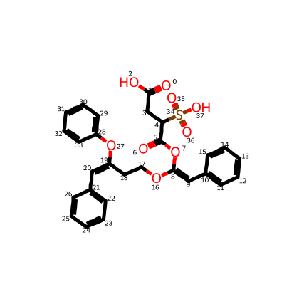 O=C(O)CC(C(=O)OC(=Cc1ccccc1)OCCC(=Cc1ccccc1)Oc1ccccc1)S(=O)(=O)O